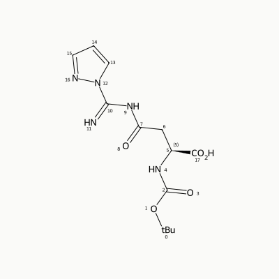 CC(C)(C)OC(=O)N[C@@H](CC(=O)NC(=N)n1cccn1)C(=O)O